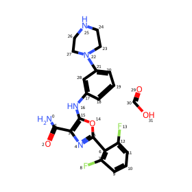 NC(=O)c1nc(-c2c(F)cccc2F)oc1Nc1cccc(N2CCNCC2)c1.O=CO